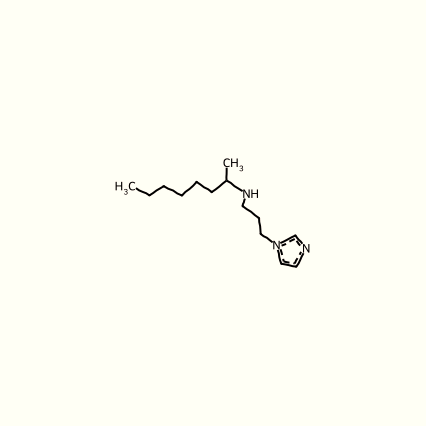 CCCCCCC(C)NCCCn1ccnc1